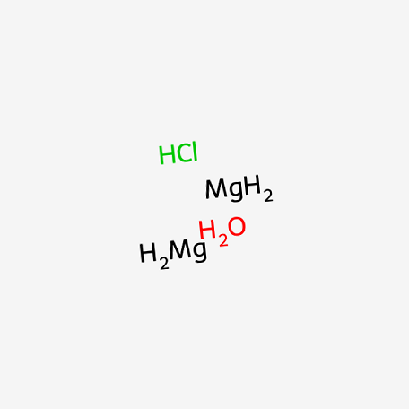 Cl.O.[MgH2].[MgH2]